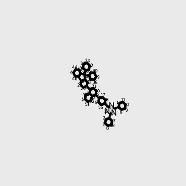 c1ccc(-c2nc(-c3ccccc3)nc(-c3ccc(-c4ccc(-c5ccc6c(c5)C(c5ccccc5)(c5ccccc5)c5ccccc5-6)c5ccccc45)cc3)n2)cc1